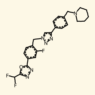 Fc1cc(-c2nnc(C(F)F)o2)ccc1Cn1cc(-c2ccc(CN3CCCCC3)cc2)nn1